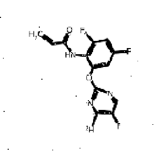 [2H]c1nc(Oc2cc(F)cc(F)c2NC(=O)C=C)ncc1F